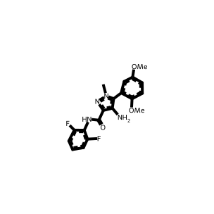 COc1ccc(OC)c(-c2c(N)c(C(=O)Nc3c(F)cccc3F)nn2C)c1